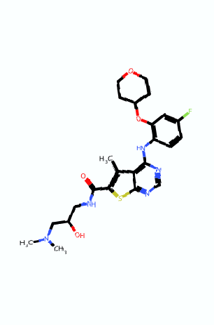 Cc1c(C(=O)NCC(O)CN(C)C)sc2ncnc(Nc3ccc(F)cc3OC3CCOCC3)c12